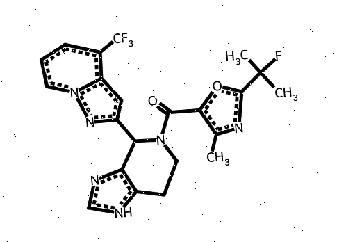 Cc1nc(C(C)(C)F)oc1C(=O)N1CCc2[nH]cnc2C1c1cc2c(C(F)(F)F)cccn2n1